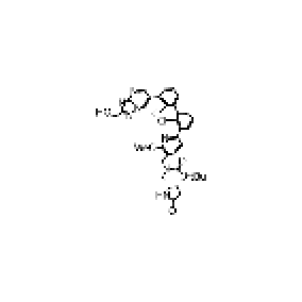 COc1nc(-c2cccc(-c3cccc(-c4cnc5nc(CO)nn5c4)c3Cl)c2Cl)ccc1CN(C[C@@H]1CCC(=O)N1)C(=O)OC(C)(C)C